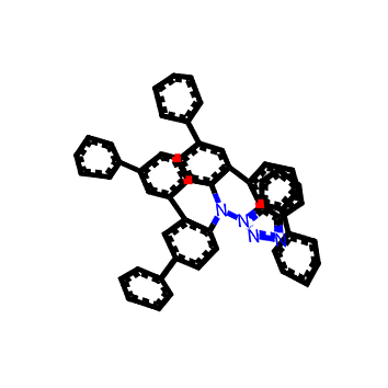 c1ccc(-c2cccc(-c3cc(-c4ccccc4)ccc3N(c3ccc(-c4ccccc4)cc3-c3cccc(-c4ccccc4)c3)n3nnc4ccccc43)c2)cc1